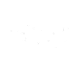 CC(=O)O[Si](OC(C)=O)(OC(C)=O)c1ccc(-c2cc(F)cc(F)c2)cc1